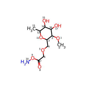 COC1C(COCC(=O)ON)OC(C)C(O)C1O